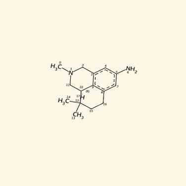 CN1Cc2cc(N)cc3c2[C@H](C1)C(C)(C)CC3